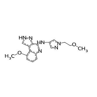 COCCn1cc(Nc2nc3cccc(OC)c3c3c[nH]nc23)cn1